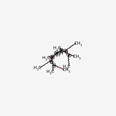 C=CCOP(=O)(OCCNC(=O)CC(=O)NCCOP(=O)(OCC=C)OCC(COCC[C@H](CCCCCCC)OC(=O)CCCCCCCCCCC)OC(=O)CCCCCCCCCCCCC)OCC(COCC[C@@H](CCCCCCC)OC(=O)CCCCCCCCCCC)OC(=O)CCCCCCCCCCCCC